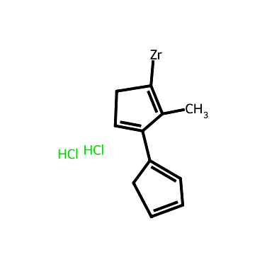 CC1=[C]([Zr])CC=C1C1=CC=CC1.Cl.Cl